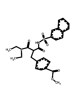 CCN(CC)C(=O)C(Cc1ccc(C(=O)OC)cc1)C(=O)NS(=O)(=O)c1ccc2ccccc2c1